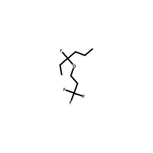 CCCC(F)(CC)OCCC(F)(F)F